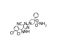 N#Cc1nc(N2CCC(OC(N)=O)(c3ccccc3)CC2)nc2[nH]nc(-c3cccc(Cl)c3Cl)c12